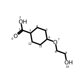 O=C(O)C1CCC(OCCO)CC1